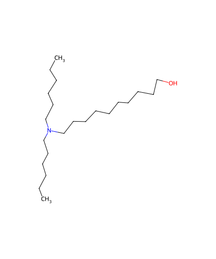 CCCCCCN(CCCCCC)CCCCCCCCCCO